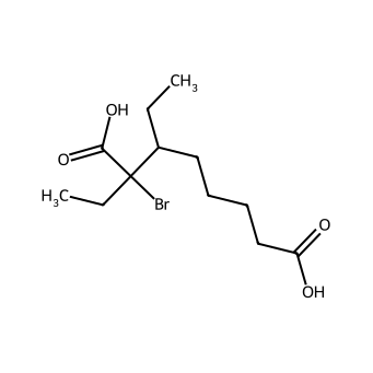 CCC(CCCCC(=O)O)C(Br)(CC)C(=O)O